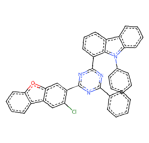 Clc1cc2c(cc1-c1nc(-c3ccccc3)nc(-c3cccc4c5ccccc5n(-c5ccccc5)c34)n1)oc1ccccc12